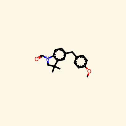 COc1ccc(Cc2ccc3c(c2)C(C)(C)CN3C=O)cc1